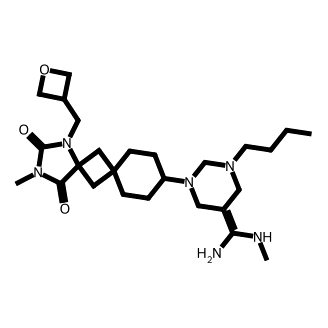 CCCCN1C/C(=C(/N)NC)CN(C2CCC3(CC2)CC2(C3)C(=O)N(C)C(=O)N2CC2COC2)C1